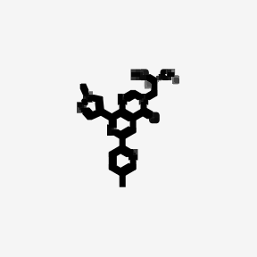 Cc1ccc(-c2cc3c(=O)n(C[C@H](O)C(F)(F)F)cnc3c(-c3cnn(C)c3)n2)nc1